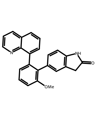 COc1cccc(-c2cccc3cccnc23)c1-c1ccc2c(c1)CC(=O)N2